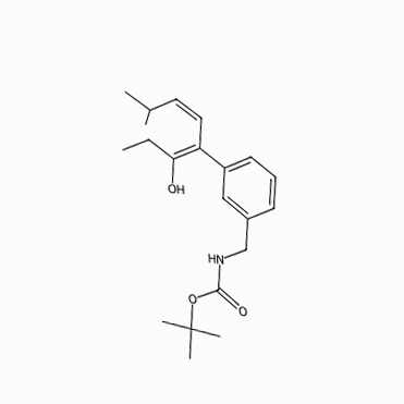 CC/C(O)=C(\C=C/C(C)C)c1cccc(CNC(=O)OC(C)(C)C)c1